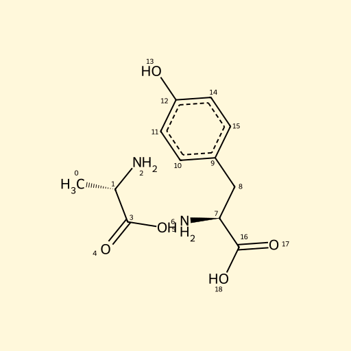 C[C@H](N)C(=O)O.N[C@@H](Cc1ccc(O)cc1)C(=O)O